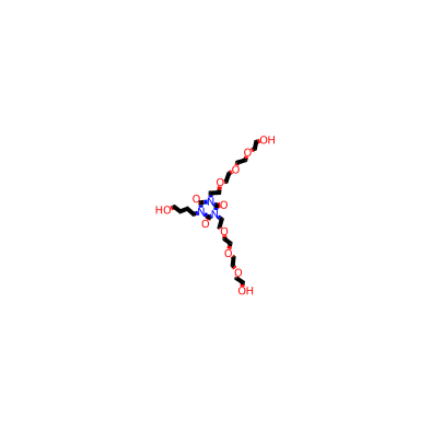 O=c1n(CCCCO)c(=O)n(CCOCCOCCOCCO)c(=O)n1CCOCCOCCOCCO